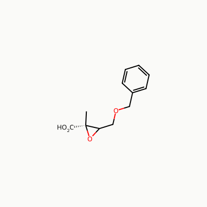 C[C@]1(C(=O)O)OC1COCc1ccccc1